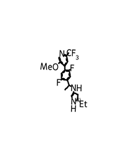 CC[C@H]1CC(NC(C)c2cc(F)c(-c3cc(C(F)(F)F)ncc3OC)cc2F)=CN1